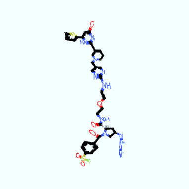 [N-]=[N+]=NC1C[C@@H](C(=O)NCCOCCNc2ncc(CN3CCCC(c4nc(=O)cc(-c5cccs5)[nH]4)C3)cn2)N(C(=O)c2ccc(S(=O)(=O)F)cc2)C1